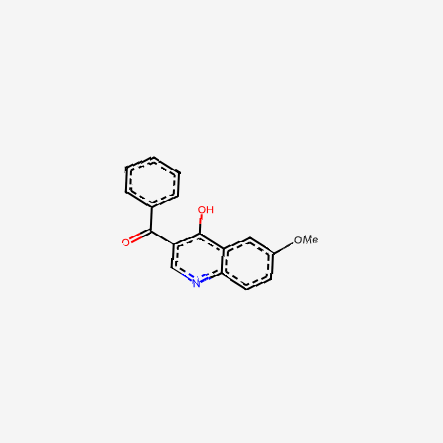 COc1ccc2ncc(C(=O)c3ccccc3)c(O)c2c1